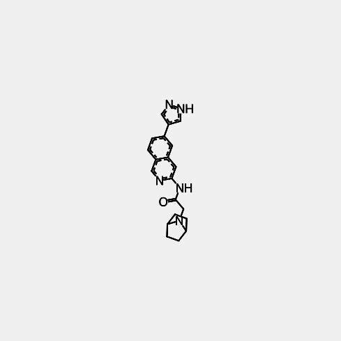 O=C(CN1C2CCC1CC2)Nc1cc2cc(-c3cn[nH]c3)ccc2cn1